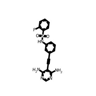 Nc1ncnc(N)c1C#Cc1cccc(NS(=O)(=O)c2ccccc2F)c1